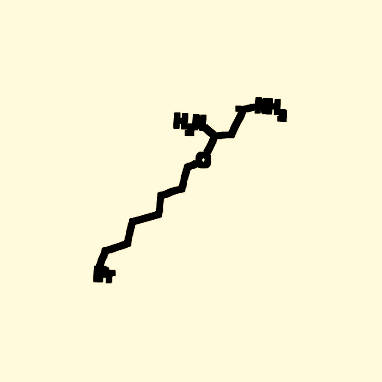 CC(C)CCCCCCCOC(N)C[CH]N